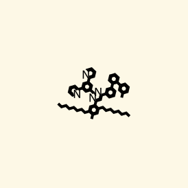 CCCCCCCCc1cc(-c2cc(-c3cccc(-c4ccccc4-c4cccc(C)c4)c3)nc(-c3cc(-c4ccccn4)cc(-c4ccccn4)c3)n2)c(CCCCCCCC)cc1C